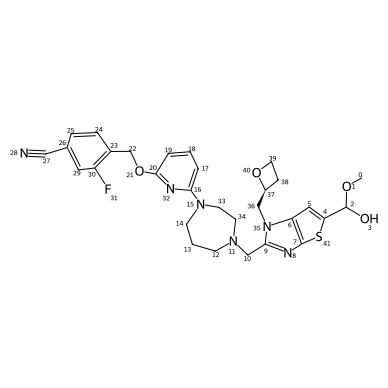 COC(O)c1cc2c(nc(CN3CCCN(c4cccc(OCc5ccc(C#N)cc5F)n4)CC3)n2C[C@@H]2CCO2)s1